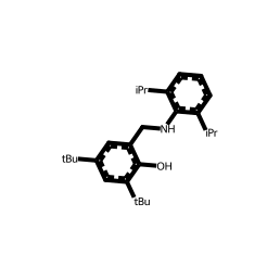 CC(C)c1cccc(C(C)C)c1NCc1cc(C(C)(C)C)cc(C(C)(C)C)c1O